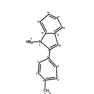 CCCCn1c(-c2ccc(C)cc2)cc2ccccc21